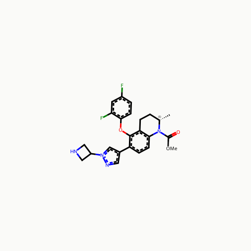 COC(=O)N1c2ccc(-c3cnn(C4CNC4)c3)c(Oc3ccc(F)cc3F)c2CC[C@@H]1C